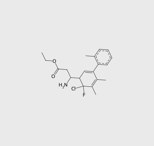 CCOC(=O)CC(N)C1C=C(c2ccccc2C)C(C)=C(C)C1(F)Cl